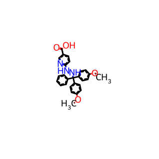 COc1ccc(C(NNc2ccc(C(=O)O)cn2)(c2ccccc2)c2ccc(OC)cc2)cc1